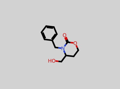 O=C1OCCC(CO)N1Cc1ccccc1